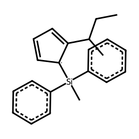 CCC(C)C1=CC=C[C]1[Si](C)(c1ccccc1)c1ccccc1